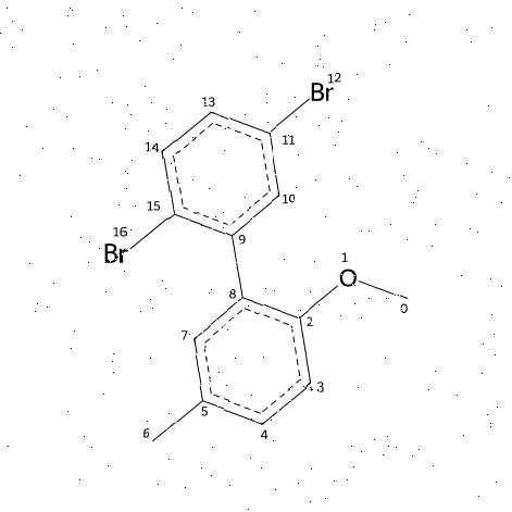 COc1[c]cc(C)cc1-c1cc(Br)ccc1Br